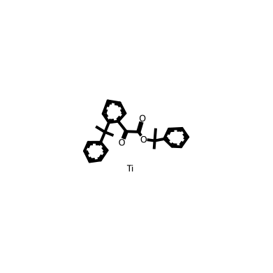 CC(C)(OC(=O)C(=O)c1ccccc1C(C)(C)c1ccccc1)c1ccccc1.[Ti]